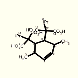 CC1C=CC(C)C(C(C(=O)O)(C(=O)O)C(C)C)C1C(C(=O)O)(C(=O)O)C(C)C